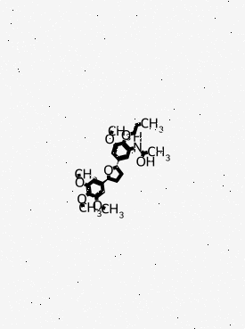 CCCOc1c(NC(C)O)cc([C@@H]2CC[C@@H](c3cc(OC)c(OC)c(OC)c3)O2)cc1OC